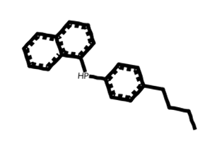 CCCCc1ccc(Pc2cccc3ccccc23)cc1